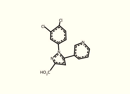 O=C(O)c1cc(-c2cccnc2)n(-c2ccc(Cl)c(Cl)c2)n1